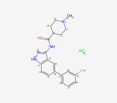 CN1CCC(C(=O)Nc2n[nH]c3ccc(-c4cccc(F)c4)cc23)CC1.Cl